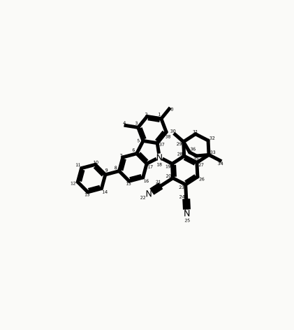 Cc1cc(C)c2c3cc(-c4ccccc4)ccc3n(-c3c(C#N)c(C#N)cc4c3C3(C)CCC4(C)CC3)c2c1